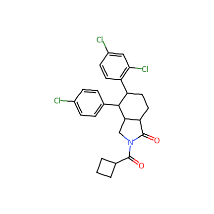 O=C(C1CCC1)N1CC2C(CCC(c3ccc(Cl)cc3Cl)C2c2ccc(Cl)cc2)C1=O